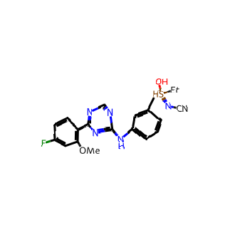 CC[SH](O)(Cc1cccc(Nc2ncnc(-c3ccc(F)cc3OC)n2)c1)=NC#N